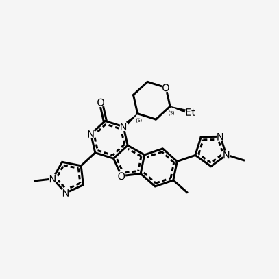 CC[C@H]1C[C@@H](n2c(=O)nc(-c3cnn(C)c3)c3oc4cc(C)c(-c5cnn(C)c5)cc4c32)CCO1